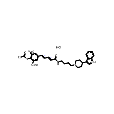 CCC(=O)Oc1c(OC)cc(/C=C/C=C/C(=O)NCCCCN2CCC(c3c[nH]c4ccccc34)CC2)cc1OC.Cl